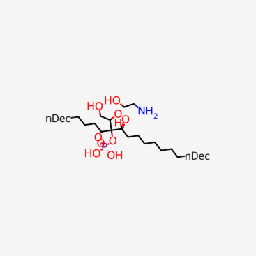 CCCCCCCCCCCCCCCCCC(=O)C(OP(=O)(O)O)(C(=O)CCCCCCCCCCCCC)C(O)CO.NCCO